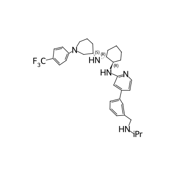 CC(C)NCc1cccc(-c2ccnc(N[C@@H]3CCCC[C@H]3N[C@H]3CCCN(c4ccc(C(F)(F)F)cc4)C3)c2)c1